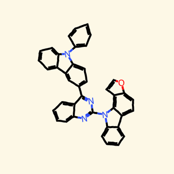 c1ccc(-n2c3ccccc3c3cc(-c4nc(-n5c6ccccc6c6ccc7occc7c65)nc5ccccc45)ccc32)cc1